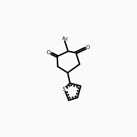 CC(=O)C1C(=O)CC(c2cccs2)CC1=O